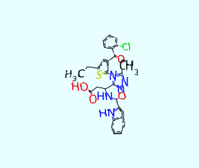 CCc1cc(C(=O)c2ccccc2Cl)c(-n2c(C)nnc2C(CC(=O)O)NC(=O)c2cc3ccccc3[nH]2)s1